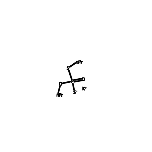 CCCOP(=O)([S-])SCCC.[K+]